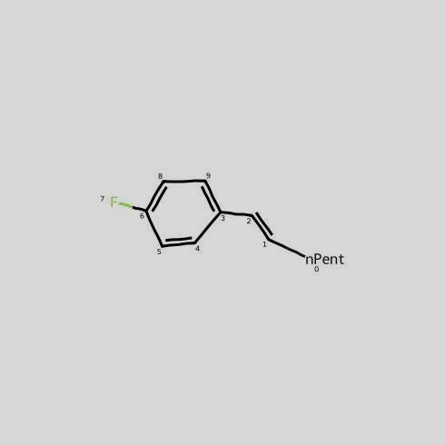 CCCCCC=Cc1ccc(F)cc1